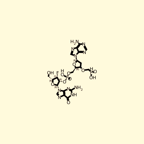 Nc1nc2c(ncn2[C@@H]2O[C@H](CO)[C@H](F)[C@@H]2OP(=O)(O)OC[C@H]2O[C@@H](n3cnc4c(N)ncnc43)CC2OC[PH](=O)O)c(=O)[nH]1